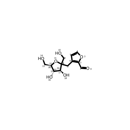 O=Cc1occc1CC1(CO)O[C@H](CO)[C@@H](O)[C@@H]1O